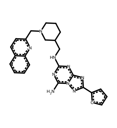 Nc1nc(NCC2CCCN(Cc3ccc4ccccc4n3)C2)nc2nc(-c3ccco3)nn12